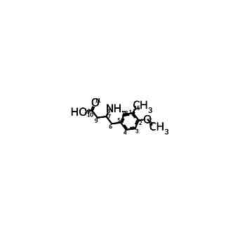 COc1ccc(CC(N)CC(=O)O)cc1C